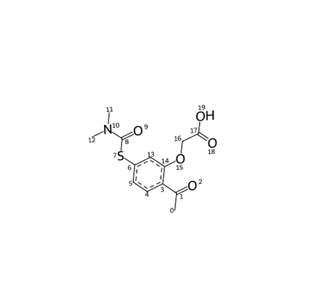 CC(=O)c1ccc(SC(=O)N(C)C)cc1OCC(=O)O